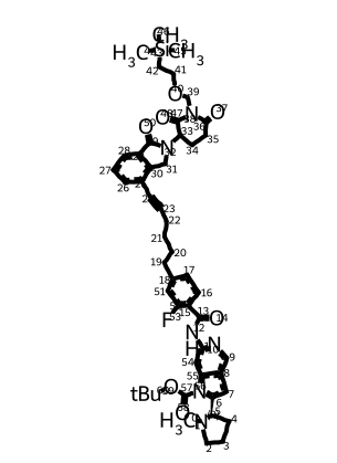 CN1CCC[C@@H]1c1cc2cnc(NC(=O)c3ccc(CCCCC#Cc4cccc5c4CN(C4CCC(=O)N(COCC[Si](C)(C)C)C4=O)C5=O)cc3F)cc2n1C(=O)OC(C)(C)C